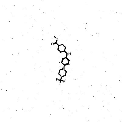 COC(=O)C1CCC(Nc2ccc(N3CCC(C(F)(F)F)CC3)cc2)CC1